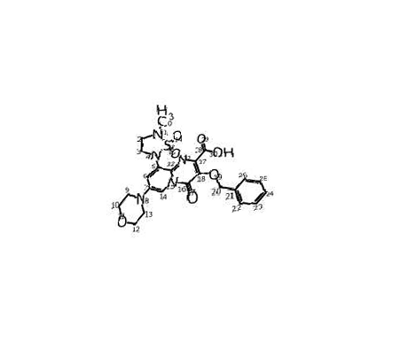 CN1CCN(c2cc(N3CCOCC3)cn3c(=O)c(OCc4ccccc4)c(C(=O)O)nc23)S1(=O)=O